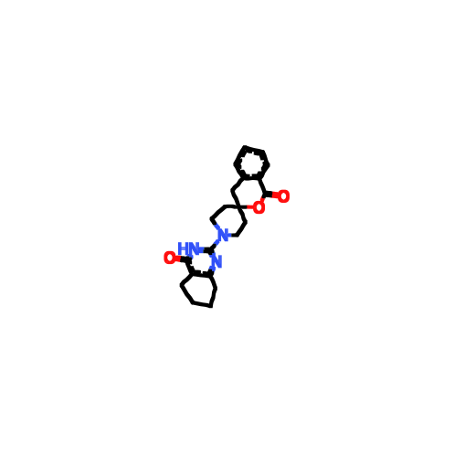 O=C1OC2(CCN(c3nc4c(c(=O)[nH]3)CCCC4)CC2)Cc2ccccc21